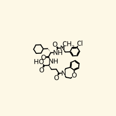 CN(Cc1cccc(Cl)c1)C(=O)N[C@@H](CC1CCCCC1)C(=O)N[C@@H](CCC(=O)N1CCOc2ccccc2C1)C(=O)O